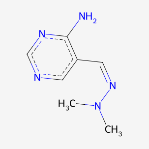 CN(C)/N=C\c1cncnc1N